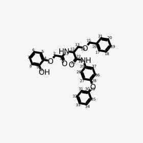 O=C(COc1ccccc1O)NC(COCc1ccccc1)C(=O)Nc1ccc(Oc2ccccc2)cc1